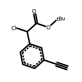 C#Cc1cccc(C(Cl)C(=O)OC(C)(C)C)c1